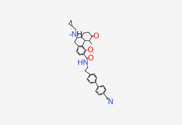 COc1c(C(=O)NCCc2ccc(-c3ccc(C#N)cc3)cc2)ccc2c1C1C(C)C(=O)CC[C@H]1[C@H](N(C)CC1CC1)C2